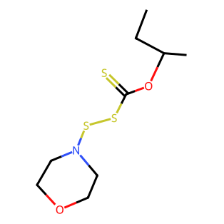 CCC(C)OC(=S)SSN1CCOCC1